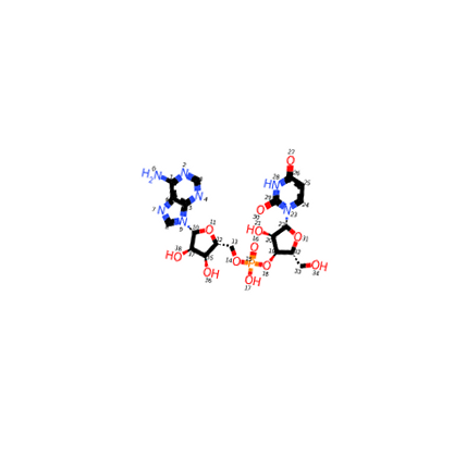 Nc1ncnc2c1ncn2[C@@H]1O[C@H](COP(=O)(O)O[C@H]2[C@@H](O)[C@H](n3ccc(=O)[nH]c3=O)O[C@@H]2CO)[C@@H](O)[C@H]1O